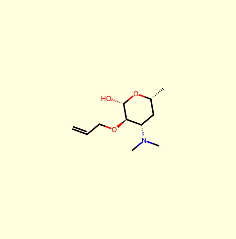 C=CCO[C@H]1[C@H](O)O[C@H](C)C[C@@H]1N(C)C